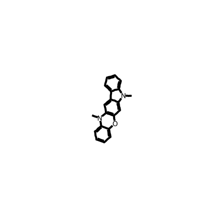 CN1c2ccccc2Oc2cc3c(cc21)c1ccccc1n3C